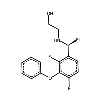 CC[C@H](NCCO)c1ccc(F)c(Oc2ccccc2)c1F